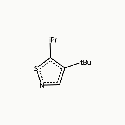 CC(C)c1sncc1C(C)(C)C